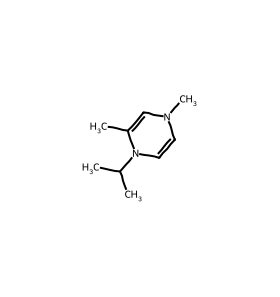 CC1=CN(C)C=CN1C(C)C